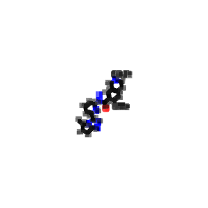 CCOC(=O)N1CCc2cc(OC)c(C(=O)Nc3cccc(-c4nnc5n4[C@H](C)CC5)n3)cc2C1